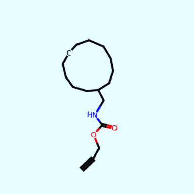 C#CCOC(=O)NCC1CCCCCCCCCCC1